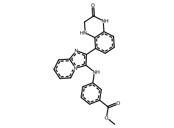 COC(=O)c1cccc(Nc2c(-c3cccc4c3NCC(=O)N4)nc3ccccn23)c1